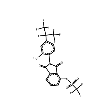 Cc1cc(C(F)(C(F)(F)F)C(F)(F)F)ccc1N1C(=O)c2cccc(OS(=O)(=O)C(F)(F)F)c2C1=O